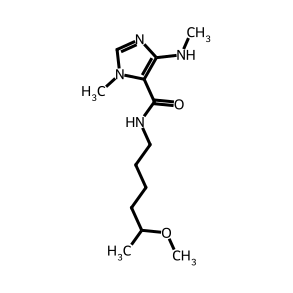 CNc1ncn(C)c1C(=O)NCCCCC(C)OC